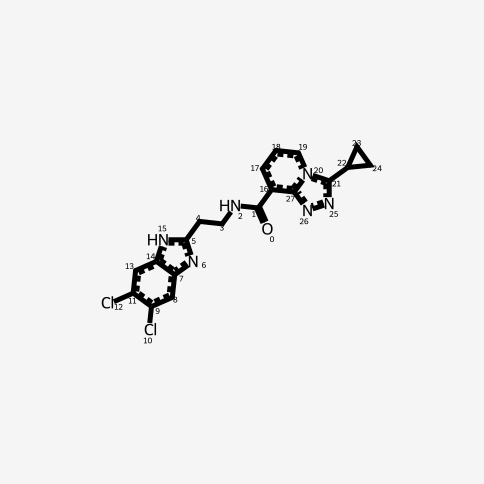 O=C(NCCc1nc2cc(Cl)c(Cl)cc2[nH]1)c1cccn2c(C3CC3)nnc12